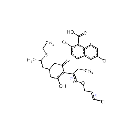 CCSC(C)CC1CC(=O)C(/C(CC)=N/OC/C=C/Cl)=C(O)C1.O=C(O)c1c(Cl)ccc2cc(Cl)cnc12